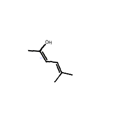 CC(C)=C/C=C(/C)O